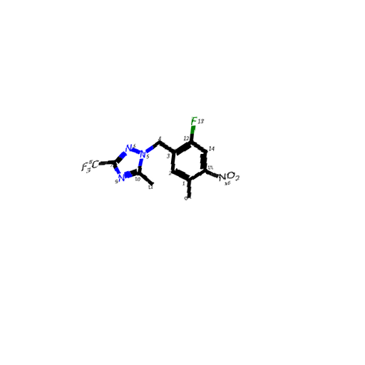 Cc1cc(Cn2nc(C(F)(F)F)nc2C)c(F)cc1[N+](=O)[O-]